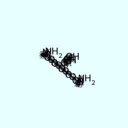 Nc1cc(OCCOCCOCCOCCOCCOCCOCCOCCOc2cc(N)nc3ccccc23)c2ccccc2n1.O=C(O)C(F)(F)F.O=C(O)C(F)(F)F